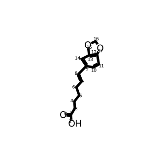 O=C(O)CCCC/C=C/c1ccc2c(c1)OCO2